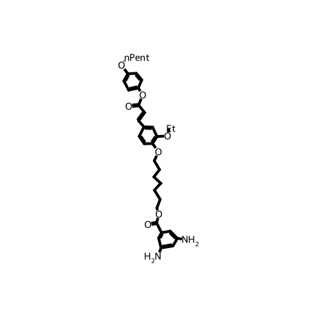 CCCCCOc1ccc(OC(=O)/C=C/c2ccc(OCCCCCCCOC(=O)c3cc(N)cc(N)c3)c(OCC)c2)cc1